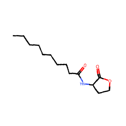 CCCCCCCCCC(=O)NC1CCOC1=O